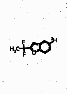 [2H]c1ccc2oc(C(C)(F)F)cc2c1